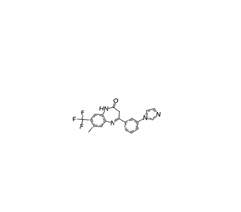 Cc1cc2c(cc1C(F)(F)F)NC(=O)CC(c1cccc(-n3ccnc3)c1)=N2